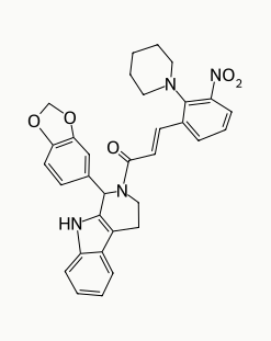 O=C(C=Cc1cccc([N+](=O)[O-])c1N1CCCCC1)N1CCc2c([nH]c3ccccc23)C1c1ccc2c(c1)OCO2